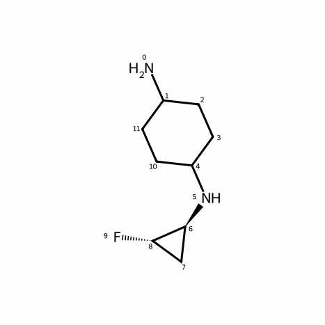 NC1CCC(N[C@H]2C[C@@H]2F)CC1